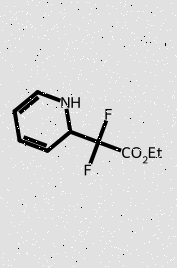 CCOC(=O)C(F)(F)C1C=CC=CN1